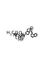 Cc1nc(C)c(C(=O)Nc2nc(-c3ccc4c(c3)CCC(=O)N4Cc3cccc4ccccc34)cs2)o1